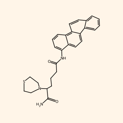 NC(=O)C(CCCC(=O)Nc1cccc2c1ccc1c3ccccc3ccc21)N1CCSCC1